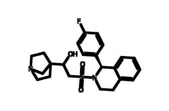 O=S(=O)(CC(O)C12CCN(CC1)C2)N1CCc2ccccc2[C@@H]1c1ccc(F)cc1